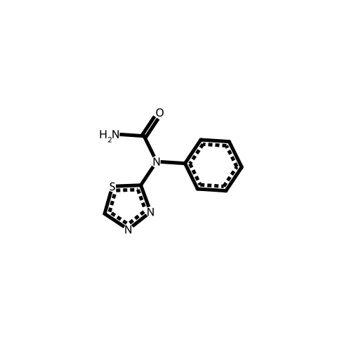 NC(=O)N(c1ccccc1)c1nncs1